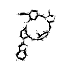 Cc1ncc2n1Cc1ccc(C#N)c(c1)Oc1ccc(-c3cc4ccccc4o3)c(c1)CN1CCN(CC1=O)C2